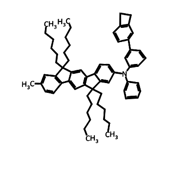 CCCCCCC1(CCCCCC)c2cc(C)ccc2-c2cc3c(cc21)-c1ccc(N(c2ccccc2)c2cccc(-c4ccc5c(c4)CC5)c2)cc1C3(CCCCCC)CCCCCC